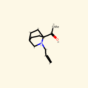 C=CCN1CC2CCC1(C(=O)OC)CC2